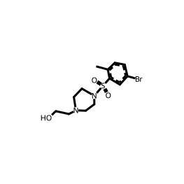 Cc1ccc(Br)cc1S(=O)(=O)N1CCN(CCO)CC1